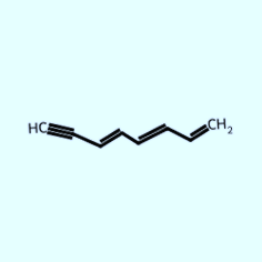 C#CC=CC=CC=C